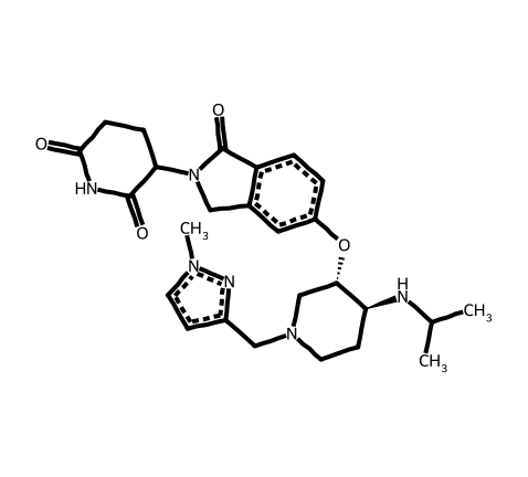 CC(C)N[C@H]1CCN(Cc2ccn(C)n2)C[C@@H]1Oc1ccc2c(c1)CN(C1CCC(=O)NC1=O)C2=O